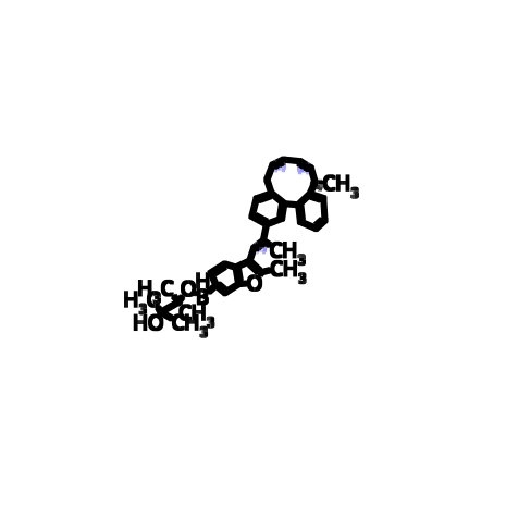 C/C(=C\c1c(C)oc2cc(BOC(C)(C)C(C)(C)O)ccc12)c1ccc2c(c1)-c1ccccc1[C@@H](C)/C=C\C=C/C2